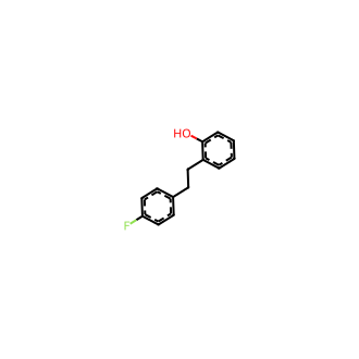 Oc1ccccc1CCc1ccc(F)cc1